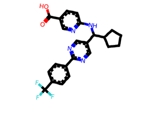 O=C(O)c1ccc(NC(c2cnc(-c3ccc(C(F)(F)F)cc3)nc2)C2CCCC2)nc1